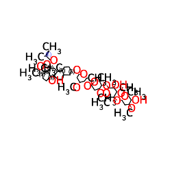 C/C=C(\C)C(=O)O[C@@H]1CC2C(CC=C3C[C@@H](OC4CC(OC)C(OC5CC(OC)C(OC6OC(C)C(OC7CC(OC)C(O)C(C)O7)C(OC)C6O)C(C)O5)C(C)O4)CC[C@@]32C)[C@@]2(O)CC[C@H](C(C)=O)[C@@]12C